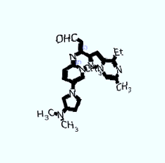 CCc1nc(C)cn2nc(C(=C/C=O)/N=c3/ccc(N4CCC(N(C)C)C4)cn3C)cc12